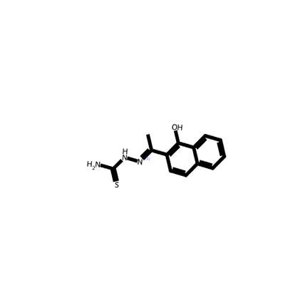 C/C(=N\NC(N)=S)c1ccc2ccccc2c1O